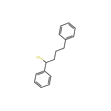 SC(CCCc1ccccc1)c1ccccc1